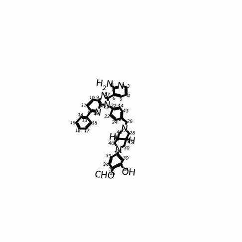 Nc1ncccc1-c1nc2ccc(-c3ccccc3)nc2n1-c1ccc(CN2C[C@@H]3CN(c4ccc(C=O)c(O)c4)C[C@@H]3C2)cc1